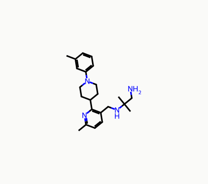 Cc1cccc(N2CCC(c3nc(C)ccc3CNC(C)(C)CN)CC2)c1